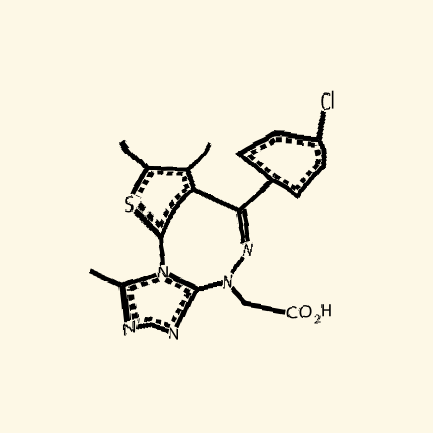 Cc1sc2c(c1C)C(c1ccc(Cl)cc1)=NN(CC(=O)O)c1nnc(C)n1-2